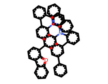 c1ccc(-c2cccc(-c3ccccc3N(c3ccc(-c4cccc5c4oc4ccccc45)cc3)c3cccc(-c4ccccc4-c4ccccc4-n4c5ccccc5c5ccccc54)c3)c2)cc1